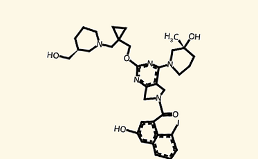 C[C@@]1(O)CCCN(c2nc(OCC3(CN4CCC[C@H](CO)C4)CC3)nc3c2CN(C(=O)c2cc(O)cc4cccc(I)c24)C3)C1